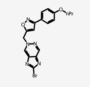 CCCOc1ccc(-c2cc(Cn3cc4nc(Br)nc-4cn3)on2)cc1